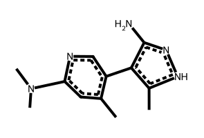 Cc1cc(N(C)C)ncc1-c1c(N)n[nH]c1C